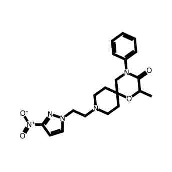 CC1OC2(CCN(CCn3ccc([N+](=O)[O-])n3)CC2)CN(c2ccccc2)C1=O